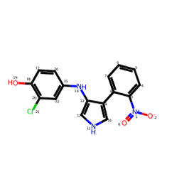 O=[N+]([O-])c1ccccc1-c1c[nH]cc1Nc1ccc(O)c(Cl)c1